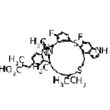 CC(Cc1cccc([C@@]2(C)CCCC(C)(C)CSCCc3c(c(F)cc4[nH]ccc34)Sc3ccc(F)c(c3)-c3nc2nn3C)c1)C(=O)O